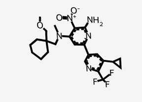 COCC1(CN(C)c2cc(-c3cnc(C(F)(F)F)c(C4CC4)c3)nc(N)c2[N+](=O)[O-])CCCCC1